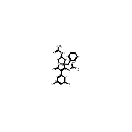 CC(=O)NC1CN2C(=O)C(c3cc(Cl)cc(Cl)c3)=C(OC(C)=O)C2(Cc2ccccc2)C1